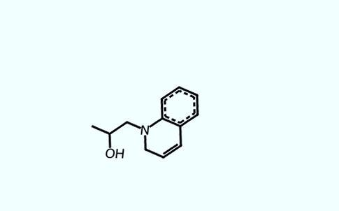 CC(O)CN1CC=Cc2ccccc21